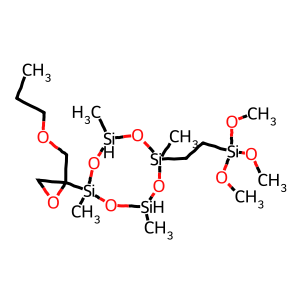 CCCOCC1([Si]2(C)O[SiH](C)O[Si](C)(CC[Si](OC)(OC)OC)O[SiH](C)O2)CO1